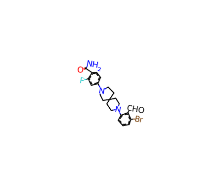 NC(=O)c1ccc(N2CCC3(CC2)CCN(c2cccc(Br)c2C=O)CC3)cc1F